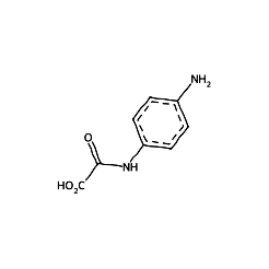 Nc1ccc(NC(=O)C(=O)O)cc1